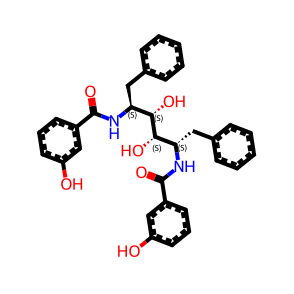 O=C(N[C@@H](Cc1ccccc1)[C@H](O)[C@@H](O)[C@H](Cc1ccccc1)NC(=O)c1cccc(O)c1)c1cccc(O)c1